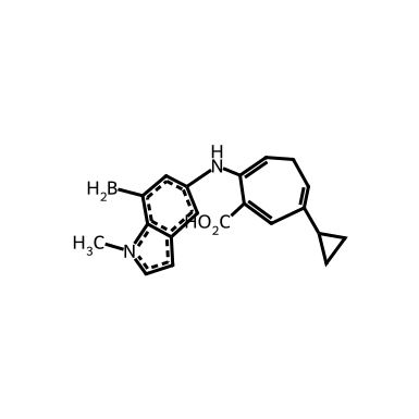 Bc1cc(NC2=CCC=C(C3CC3)C=C2C(=O)O)cc2ccn(C)c12